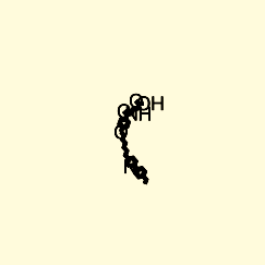 CCc1ccc(-c2ccc(CCCCCCOc3ccc(C(=O)NCCC(=O)O)cc3)cn2)cc1